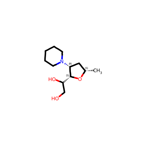 C[C@H]1C[C@@H](N2CCCCC2)[C@@H](C(O)CO)O1